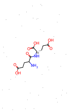 NC(CCC(=O)O)C(=O)N[C@@H](CCC(=O)O)C(=O)O